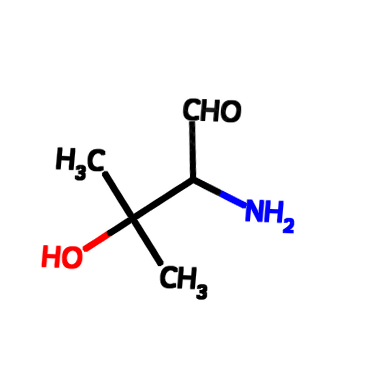 CC(C)(O)C(N)C=O